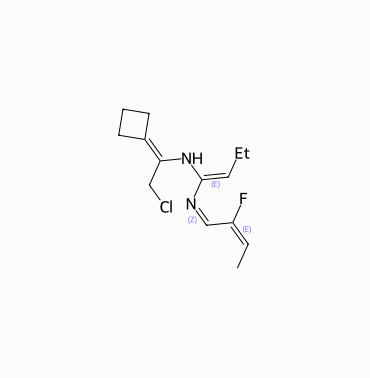 C\C=C(F)/C=N\C(=C\CC)NC(CCl)=C1CCC1